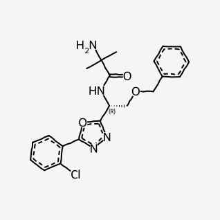 CC(C)(N)C(=O)N[C@H](COCc1ccccc1)c1nnc(-c2ccccc2Cl)o1